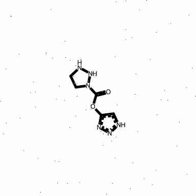 O=C(Oc1c[nH]nn1)N1CCNN1